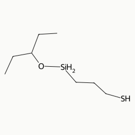 CCC(CC)O[SiH2]CCCS